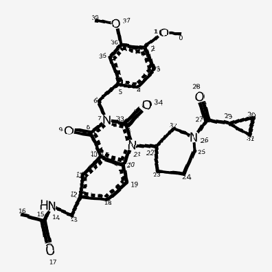 COc1ccc(Cn2c(=O)c3cc(CNC(C)=O)ccc3n(C3CCCN(C(=O)C4CC4)C3)c2=O)cc1OC